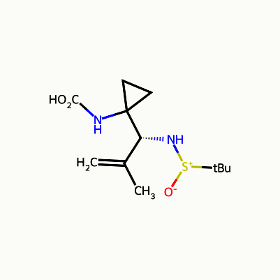 C=C(C)[C@@H](N[S+]([O-])C(C)(C)C)C1(NC(=O)O)CC1